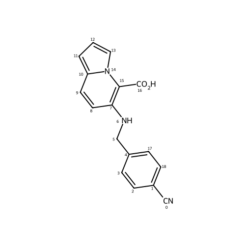 N#Cc1ccc(CNc2ccc3cccn3c2C(=O)O)cc1